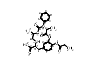 CCC(=O)Oc1ccc(C[C@H](NCC(C)OC(=O)Oc2ccccc2)C(=O)O)cc1OC(=O)CC